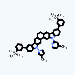 Cc1ccnc(-n2c3c(c4cc5c(cc42)-c2cc4c(cc2CC5)c2cc(-c5cccc([Si](C)(C)C)c5)ccc2n4-n2ccc(C)c2)C=C(c2cccc([Si](C)(C)C)c2)CC3)c1